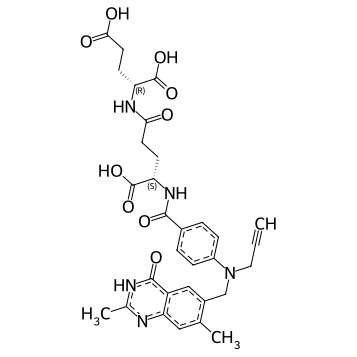 C#CCN(Cc1cc2c(=O)[nH]c(C)nc2cc1C)c1ccc(C(=O)N[C@@H](CCC(=O)N[C@H](CCC(=O)O)C(=O)O)C(=O)O)cc1